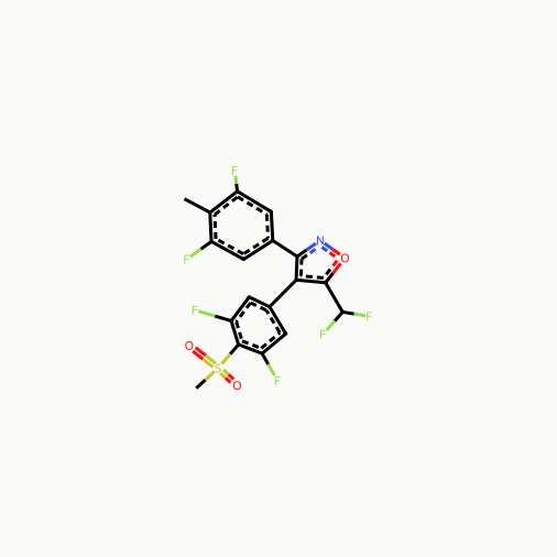 Cc1c(F)cc(-c2noc(C(F)F)c2-c2cc(F)c(S(C)(=O)=O)c(F)c2)cc1F